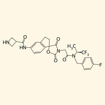 C[C@H](N(Cc1ccc(F)cc1)C(=O)CN1C(=O)OC2(CCc3cc(NC(=O)C4CNC4)ccc32)C1=O)C(F)(F)F